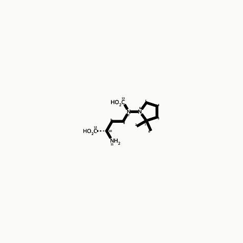 CC1(C)CCCN1N(CC[C@H](N)C(=O)O)C(=O)O